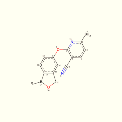 Bc1ccc(C#N)c(Oc2ccc3c(c2)COB3C)n1